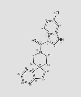 O=C(c1c[nH]c2cc(Cl)ccc12)N1CCC2(C=Cc3ccccc32)CC1